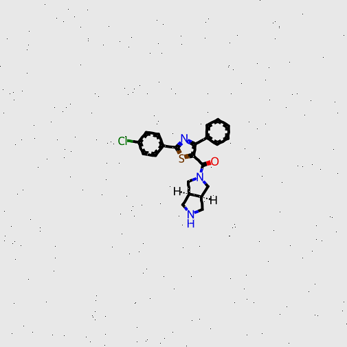 O=C(c1sc(-c2ccc(Cl)cc2)nc1-c1ccccc1)N1C[C@H]2CNC[C@H]2C1